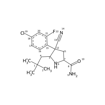 CC(C)(C)CC1NC(C(N)=O)CC1(C#N)c1ccc(Cl)cc1F